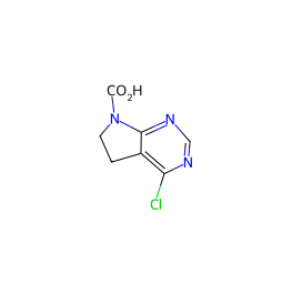 O=C(O)N1CCc2c(Cl)ncnc21